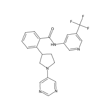 O=C(Nc1cncc(C(F)(F)F)c1)c1ccccc1C1CCN(c2cncnc2)C1